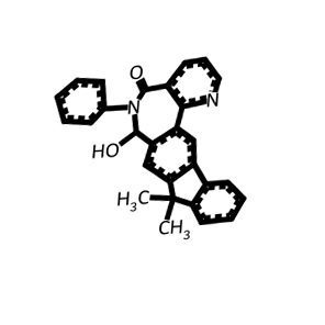 CC1(C)c2ccccc2-c2cc3c(cc21)C(O)N(c1ccccc1)C(=O)c1cccnc1-3